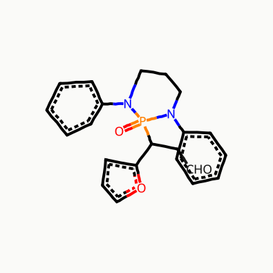 O=CCC(c1ccco1)P1(=O)N(c2ccccc2)CCCN1c1ccccc1